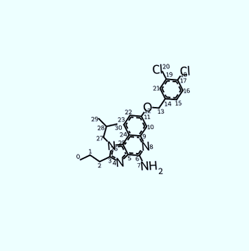 CCCc1nc2c(N)nc3cc(OCc4ccc(Cl)c(Cl)c4)ccc3c2n1CC(C)C